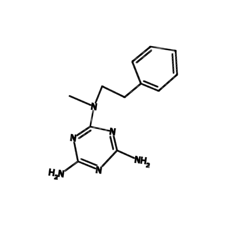 CN(CCc1ccccc1)c1nc(N)nc(N)n1